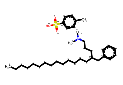 CCCCCCCCCCCCCCC(CCCN(C)C)Cc1ccccc1.Cc1ccc(S(=O)(=O)O)cc1